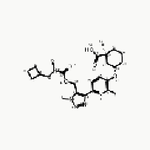 Cc1nc(-c2nnn(C)c2COC(=O)N(C)CC2CCC2)ccc1O[C@H]1CCC[C@](F)(C(=O)O)C1